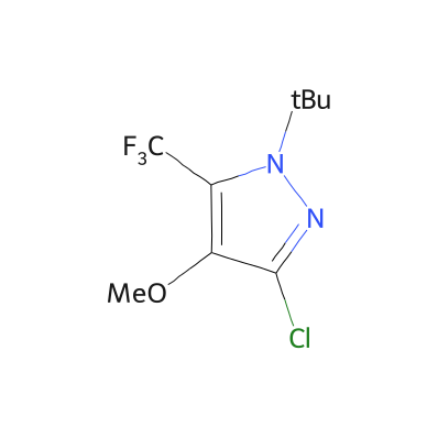 COc1c(Cl)nn(C(C)(C)C)c1C(F)(F)F